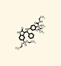 CCNC(=O)[N+](C)(c1ccc(N/C(=C2\C(=O)Nc3ccc(P(=O)(OCC)OCC)cc32)c2ccccc2)cc1)S(C)(=O)=O